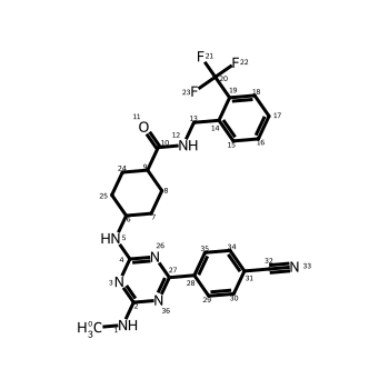 CNc1nc(NC2CCC(C(=O)NCc3ccccc3C(F)(F)F)CC2)nc(-c2ccc(C#N)cc2)n1